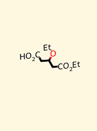 CCOC(=O)CC(CC(=O)O)OCC